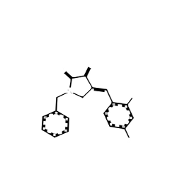 O=C1C(=O)N(Cc2ccccc2)C/C1=C\c1ccc(Cl)cc1Cl